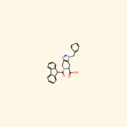 O=C(O)C1Cc2c(ncn2Cc2ccccc2)CN1C(=O)C1c2ccccc2-c2ccccc21